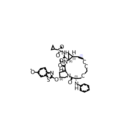 COc1ccc2nc(O[C@@H]3C[C@H]4C(=O)N[C@]5(C(=O)NS(=O)(=O)C6CC6)C[C@H]5/C=C\CCCCC[C@H](Nc5ccccc5)C(=O)N4C3)sc2c1